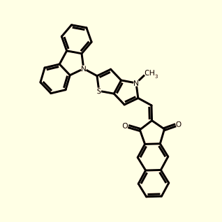 Cn1c(C=C2C(=O)c3cc4ccccc4cc3C2=O)cc2sc(-n3c4ccccc4c4ccccc43)cc21